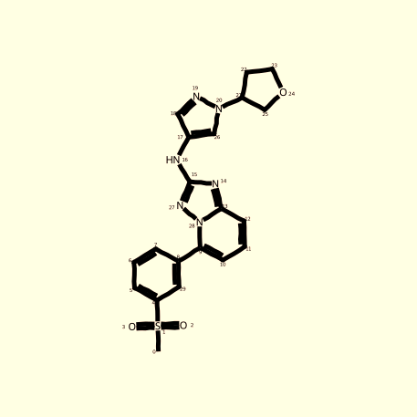 CS(=O)(=O)c1cccc(-c2cccc3nc(Nc4cnn(C5CCOC5)c4)nn23)c1